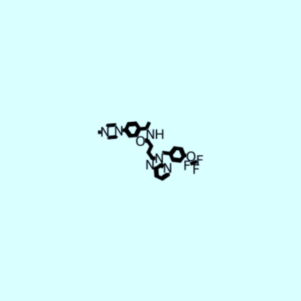 CC(NC(=O)CCc1nc2cccnc2n1Cc1ccc(OC(F)(F)F)cc1)c1ccc(N2CCN(C)CC2)cc1